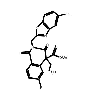 COC(=O)C1(CC(=O)O)C(=O)N(Cc2nc3cc(C(F)(F)F)ccc3s2)C(=O)c2ccc(F)cc21